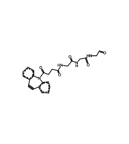 O=CCNC(=O)CNC(=O)CNC(=O)CCC(=O)N1c2ccccc2C#Cc2ccccc21